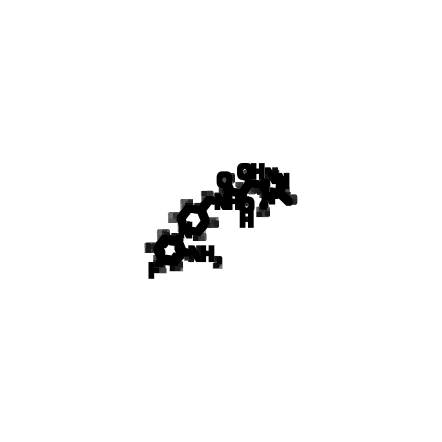 Cc1nnc([C@H](O)[C@@H](O)C(=O)NCC2CCN(c3ccc(F)cc3N)CC2)n1C